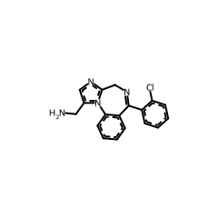 NCc1cnc2n1-c1ccccc1C(c1ccccc1Cl)=NC2